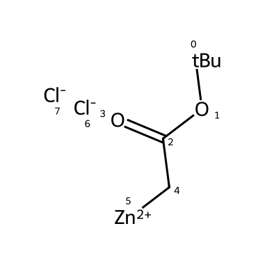 CC(C)(C)OC(=O)[CH2][Zn+2].[Cl-].[Cl-]